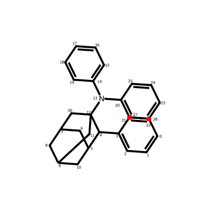 c1ccc(C2C3CC4CC(C3)CC2(N(c2ccccc2)c2ccccc2)C4)cc1